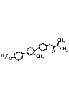 C=C(C)C(=O)Oc1ccc(-c2ccc(-c3ccc(OC)cc3)cc2C)cc1